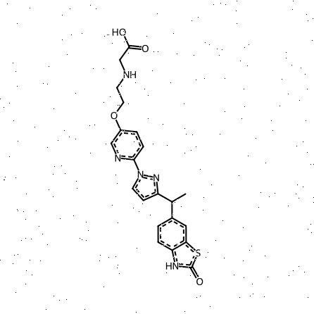 CC(c1ccc2[nH]c(=O)sc2c1)c1ccn(-c2ccc(OCCNCC(=O)O)cn2)n1